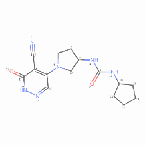 N#Cc1c(N2CC[C@@H](NC(=O)NC3CCCC3)C2)cn[nH]c1=O